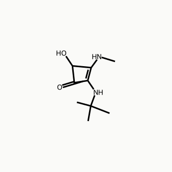 CNC1=C(NC(C)(C)C)C(=O)C1O